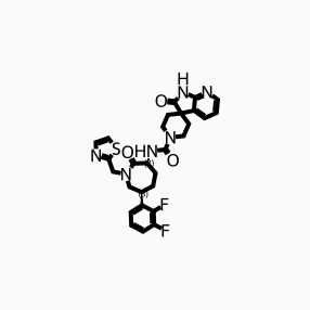 O=C(N[C@@H]1CC[C@@H](c2cccc(F)c2F)CN(Cc2nccs2)C1=O)N1CCC2(CC1)C(=O)Nc1ncccc12